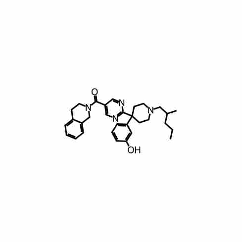 CCCC(C)CN1CCC(c2cccc(O)c2)(c2ncc(C(=O)N3CCc4ccccc4C3)cn2)CC1